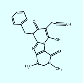 C#CCc1c(O)n2c3c(nc2n(Cc2ccccc2)c1=O)N(C)CN(C)C3=O